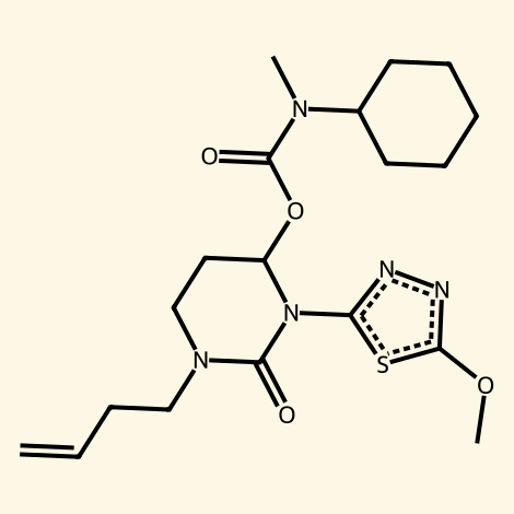 C=CCCN1CCC(OC(=O)N(C)C2CCCCC2)N(c2nnc(OC)s2)C1=O